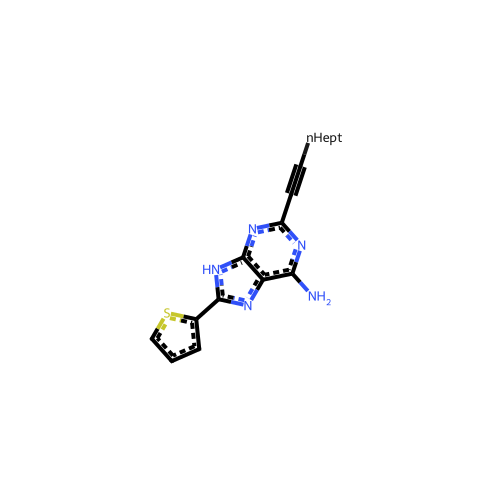 CCCCCCCC#Cc1nc(N)c2nc(-c3cccs3)[nH]c2n1